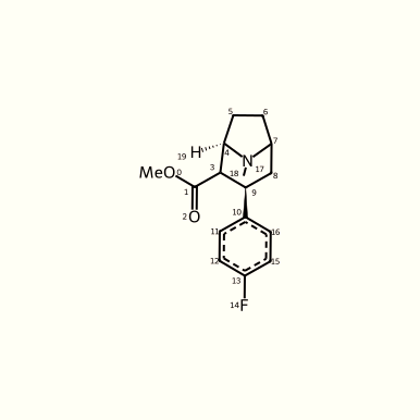 COC(=O)C1[C@H]2CCC(C[C@H]1c1ccc(F)cc1)N2C